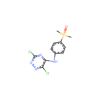 CP(C)(=O)c1ccc(Nc2nc(Cl)nnc2Cl)cc1